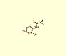 CC(C)c1cc(Cl)ccc1NC(=O)C1CC1